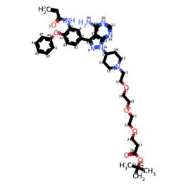 C=CC(=O)Nc1cc(-c2nn(C3CCN(CCOCCOCCOCCC(=O)OC(C)(C)C)CC3)c3ncnc(N)c23)ccc1Oc1ccccc1